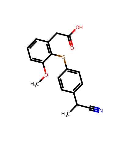 COc1cccc(CC(=O)O)c1Sc1ccc(C(C)C#N)cc1